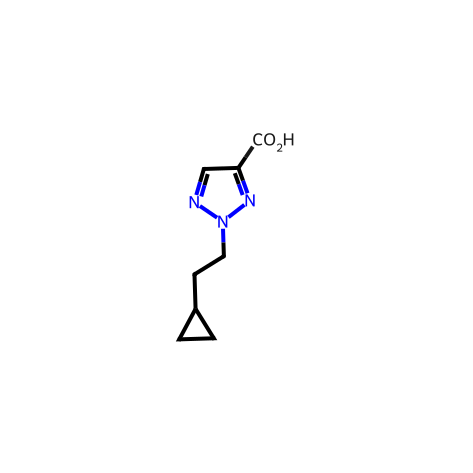 O=C(O)c1cnn(CCC2CC2)n1